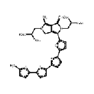 CCCCCCCCCCC(CCCCCCCC)CN1CC2=C(c3ccc(-c4ccc(-c5ccc(-c6ccc(C)s6)s5)s4)s3)N(CC(CCCCCCCC)CCCCCCCCCC)C(=O)C2=C1C